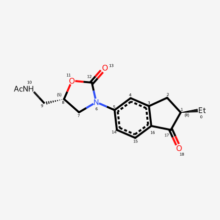 CC[C@@H]1Cc2cc(N3C[C@H](CNC(C)=O)OC3=O)ccc2C1=O